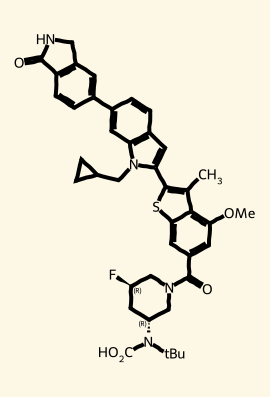 COc1cc(C(=O)N2C[C@H](F)C[C@@H](N(C(=O)O)C(C)(C)C)C2)cc2sc(-c3cc4ccc(-c5ccc6c(c5)CNC6=O)cc4n3CC3CC3)c(C)c12